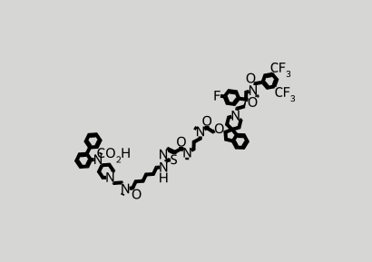 CN(CCN1CCC(N(C(=O)O)c2ccccc2-c2ccccc2)CC1)C(=O)CCCCCNc1ncc(C(=O)N(C)CCCN(C)C(=O)CO[C@H]2Cc3ccccc3C23CCN(CC[C@@]2(c4ccc(F)cc4)CN(C(=O)c4cc(C(F)(F)F)cc(C(F)(F)F)c4)CO2)CC3)s1